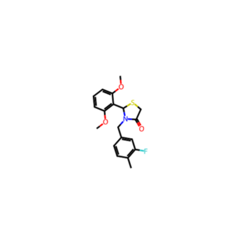 COc1cccc(OC)c1C1SCC(=O)N1Cc1ccc(C)c(F)c1